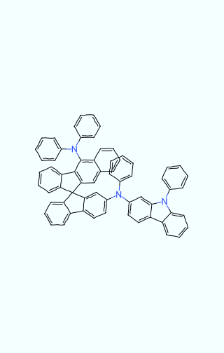 c1ccc(N(c2ccc3c(c2)C2(c4ccccc4-3)c3ccccc3-c3c2cc2ccccc2c3N(c2ccccc2)c2ccccc2)c2ccc3c4ccccc4n(-c4ccccc4)c3c2)cc1